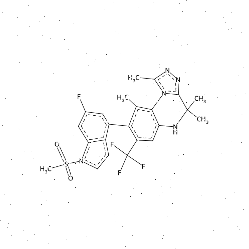 Cc1c(-c2cc(F)cc3c2ccn3S(C)(=O)=O)c(C(F)(F)F)cc2c1-n1c(C)nnc1C(C)(C)N2